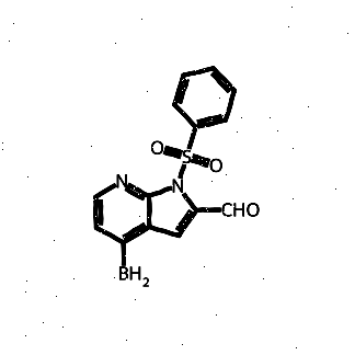 Bc1ccnc2c1cc(C=O)n2S(=O)(=O)c1ccccc1